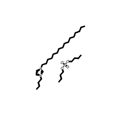 CCCCCCCCCCCCCCCCn1cc[n+](CCCC)c1.CCCCOP(=O)([O-])OCCCC